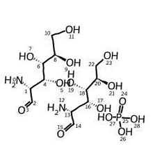 N[C@@H](C=O)[C@@H](O)[C@H](O)[C@H](O)CO.N[C@@H](C=O)[C@@H](O)[C@H](O)[C@H](O)CO.O=P(O)(O)O